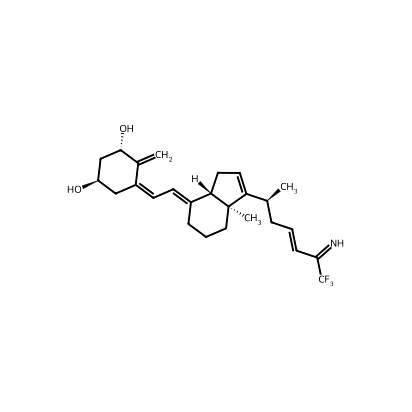 C=C1/C(=C\C=C2/CCC[C@]3(C)C([C@@H](C)C/C=C/C(=N)C(F)(F)F)=CC[C@@H]23)C[C@@H](O)C[C@@H]1O